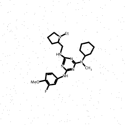 CCN1CCCC1CNc1nc(Nc2ccc(OC)c(F)c2)nc(N(C)C2CCCCC2)n1